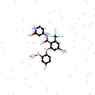 COc1cc(F)ccc1Oc1cc(C)cc(C(F)(F)F)c1C(=O)Nc1cc[nH]c(=O)c1